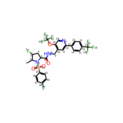 CC1C(F)CC(C(=O)NCc2cc(-c3ccc(C(F)(F)F)cc3)ncc2OC(F)(F)F)N1S(=O)(=O)c1ccc(F)cc1